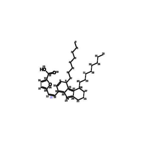 CCCCCCCCC1C=CC(/C=C\c2ccc(C(=O)O)o2)=C2N=C3CCCC(CCCCCCCC)C3=C21